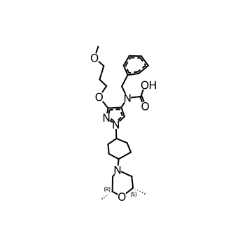 COCCCOc1nn(C2CCC(N3C[C@@H](C)O[C@@H](C)C3)CC2)cc1N(Cc1ccccc1)C(=O)O